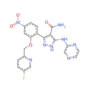 NC(=O)c1c(-c2ccc([N+](=O)[O-])cc2OCc2ccc(F)cn2)n[nH]c1Nc1cnccn1